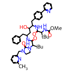 CCC(C)C(C(=O)NC(Cc1ccccc1)CC(O)C(Cc1ccc(-c2ccccn2)cc1)NC(=O)C(NC(=O)OC)C(C)(C)C)N1CCN(Cc2cccc(C)n2)C1=O